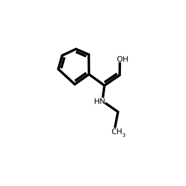 CCN/C(=C/O)c1ccccc1